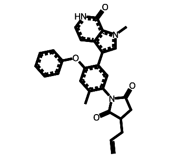 C=CCC1CC(=O)N(c2cc(-c3cn(C)c4c(=O)[nH]ccc34)c(Oc3ccccc3)cc2C)C1=O